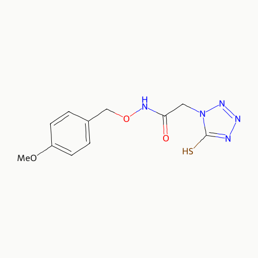 COc1ccc(CONC(=O)Cn2nnnc2S)cc1